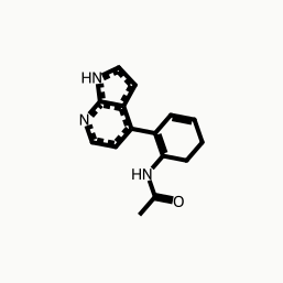 CC(=O)NC1=C(c2ccnc3[nH]ccc23)C=CCC1